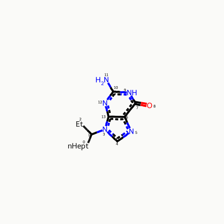 CCCCCCCC(CC)n1cnc2c(=O)[nH]c(N)nc21